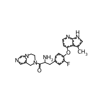 Cc1c[nH]c2nccc(Oc3ccc(CC(N)C(=O)N4CCn5cncc5C4)cc3F)c12